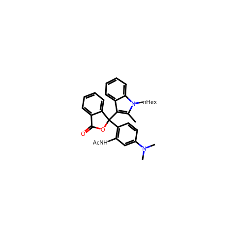 CCCCCCn1c(C)c(C2(c3ccc(N(C)C)cc3NC(C)=O)OC(=O)c3ccccc32)c2ccccc21